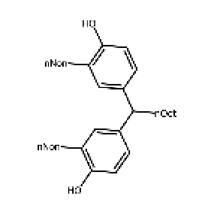 CCCCCCCCCc1cc(C(CCCCCCCC)c2ccc(O)c(CCCCCCCCC)c2)ccc1O